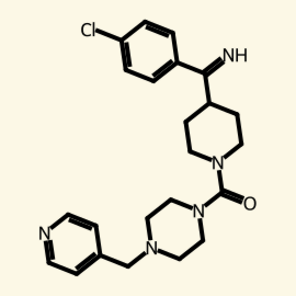 N=C(c1ccc(Cl)cc1)C1CCN(C(=O)N2CCN(Cc3ccncc3)CC2)CC1